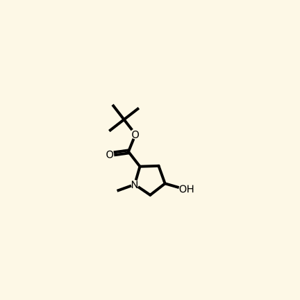 CN1CC(O)CC1C(=O)OC(C)(C)C